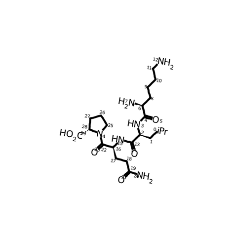 CC(C)C[C@H](NC(=O)[C@@H](N)CCCCN)C(=O)N[C@@H](CCC(N)=O)C(=O)N1CCC[C@H]1C(=O)O